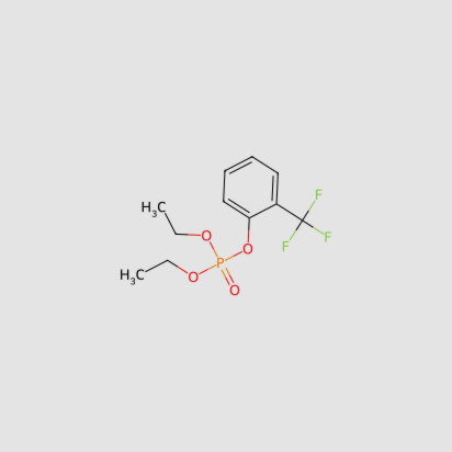 CCOP(=O)(OCC)Oc1ccccc1C(F)(F)F